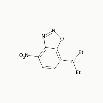 CCN(CC)c1ccc([N+](=O)[O-])c2nnoc12